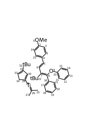 COc1ccc(C=CC(=C(Oc2ccccc2)c2ccccc2)C(C)(C)C)cc1.C[C](C)=[Ti][C]1=CC(C(C)(C)C)=CC1